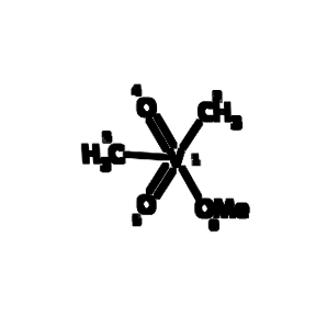 C[O][V]([CH3])([CH3])(=[O])=[O]